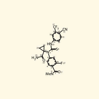 CNC(=O)c1ccc(N(C(=S)Nc2ccc(C#N)c(C(F)(F)F)c2)C2(C(N)=O)CC2)cc1F